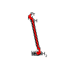 CCCCc1nc2c(N)nc3cc(CCCN4CCN(CCCOCCOCCOCCOCCOCCOCCOCCOCCOCCOCCOCCOCCOCCOCCOCCOCCNC(=O)O[C@H]5CC[C@@]6(C)C(=CC[C@H]7[C@@H]8CC[C@H]([C@H](C)CCCC(C)C)[C@@]8(C)CC[C@@H]76)C5)CC4)ccc3c2n1CC(C)(CO)CO